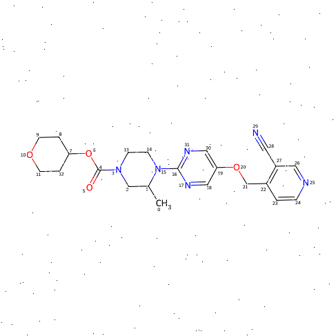 CC1CN(C(=O)OC2CCOCC2)CCN1c1ncc(OCc2ccncc2C#N)cn1